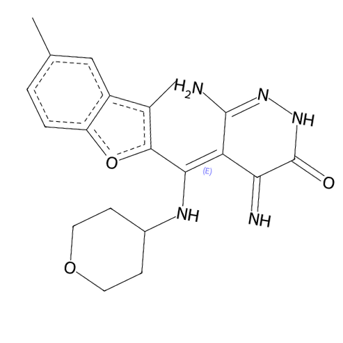 Cc1ccc2oc(/C(NC3CCOCC3)=C3/C(=N)C(=O)NN=C3N)c(C)c2c1